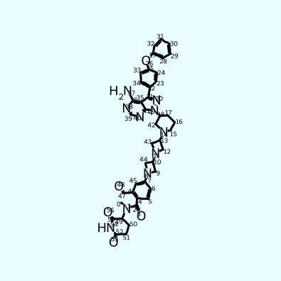 CN(C(=O)c1ccc(N2CC(N3CC(N4CCCC(n5nc(-c6ccc(Oc7ccccc7)cc6)c6c(N)ncnc65)C4)C3)C2)cc1C=O)C1CCC(=O)NC1=O